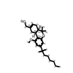 CCCCCCC(C)(C)c1cc(OC)c2c(c1)OC(C)(C)[C@H]1CC=C(CO)C[C@H]21